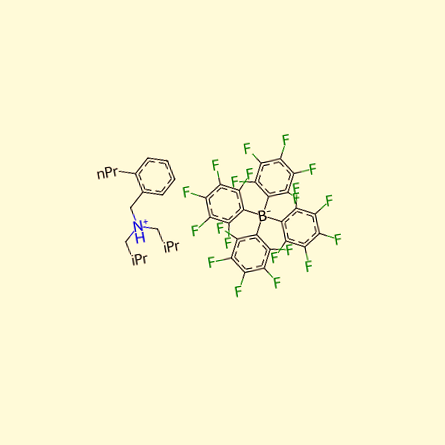 CCCc1ccccc1C[NH+](CC(C)C)CC(C)C.Fc1c(F)c(F)c([B-](c2c(F)c(F)c(F)c(F)c2F)(c2c(F)c(F)c(F)c(F)c2F)c2c(F)c(F)c(F)c(F)c2F)c(F)c1F